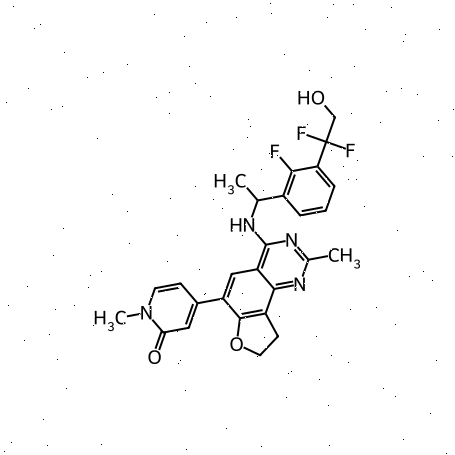 Cc1nc(NC(C)c2cccc(C(F)(F)CO)c2F)c2cc(-c3ccn(C)c(=O)c3)c3c(c2n1)CCO3